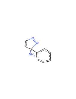 NC1(c2ccccc2)C=CN=N1